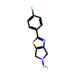 CN1Cc2nc(-c3ccc(F)cc3)sc2C1